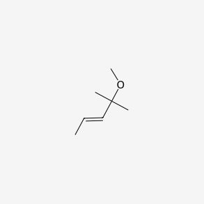 CC=CC(C)(C)OC